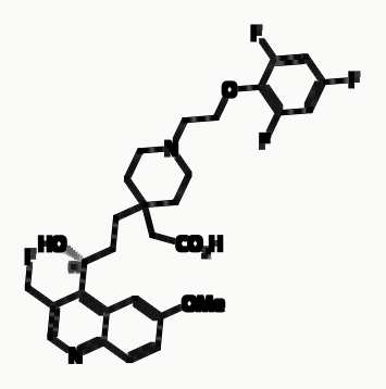 COc1ccc2ncc(CF)c([C@H](O)CCC3(CC(=O)O)CCN(CCOc4c(F)cc(F)cc4F)CC3)c2c1